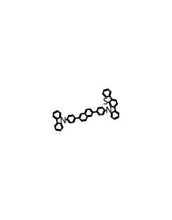 c1ccc2c(c1)sc1c2ccc2c3ccccc3n(-c3ccc(-c4ccc5cc(-c6ccc(-n7c8ccccc8c8ccccc87)cc6)ccc5c4)cc3)c21